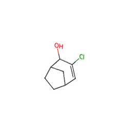 OC1C(Cl)=CC2CCC1C2